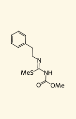 COC(=O)N/C(=N/CCc1ccccc1)SC